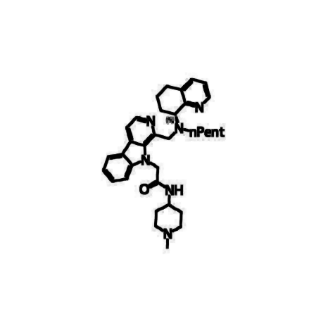 CCCCCN(Cc1nccc2c3ccccc3n(CC(=O)NC3CCN(C)CC3)c12)[C@H]1CCCc2cccnc21